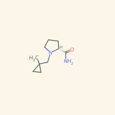 CC1(CN2CCC[C@@H]2C(N)=O)CC1